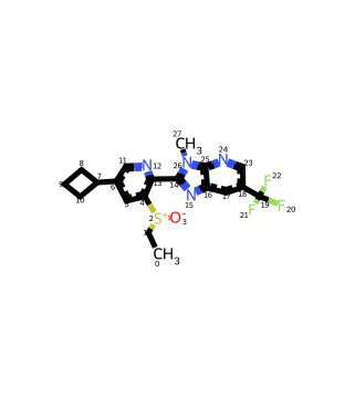 CC[S+]([O-])c1cc(C2CCC2)cnc1-c1nc2cc(C(F)(F)F)cnc2n1C